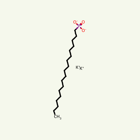 CCCCCCCCCCCCCCCCCCP(=O)([O-])[O-].[K+].[K+]